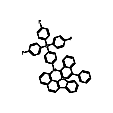 Fc1ccc([Si](c2ccc(F)cc2)(c2ccc(F)cc2)c2ccc(N(c3ccc(-c4ccccc4)c4ccccc34)c3cccc4ccc5c6ccccc6oc5c34)cc2)cc1